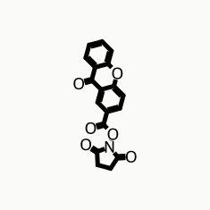 O=C(ON1C(=O)CCC1=O)c1ccc2oc3ccccc3c(=O)c2c1